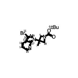 CC(C)(C)OC(=O)N1CC(C)(n2nc(Br)c3cccnc32)C1